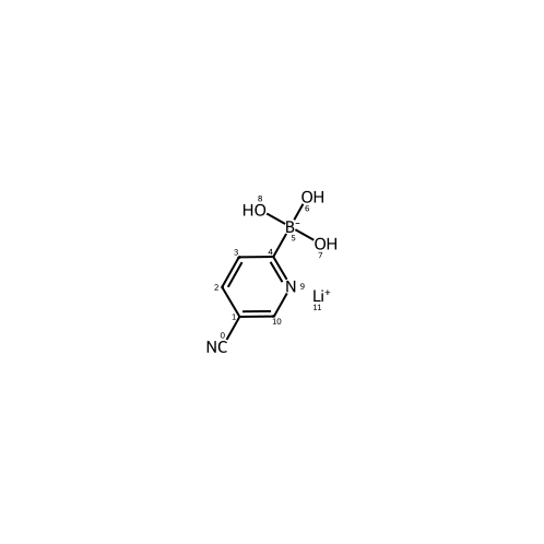 N#Cc1ccc([B-](O)(O)O)nc1.[Li+]